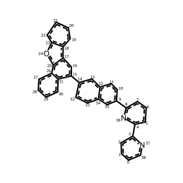 c1ccc(-c2cccc(-c3ccc4cc(-c5cc6c7ccccc7oc6c6ccccc56)ccc4c3)n2)nc1